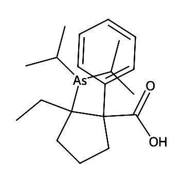 CCC1([As](C(C)C)C(C)C)CCCC1(C(=O)O)c1ccccc1